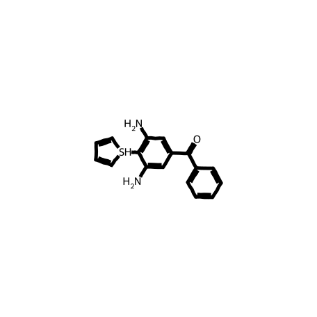 Nc1cc(C(=O)c2ccccc2)cc(N)c1[SH]1C=CC=C1